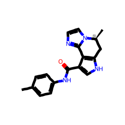 Cc1ccc(NC(=O)c2c[nH]c3c2-c2nccn2[C@@H](C)C3)cc1